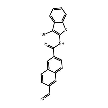 O=Cc1ccc2cc(C(=O)Nc3sc4ccccc4c3Br)ccc2c1